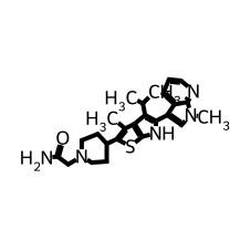 Cc1c(C2CCN(CC(N)=O)CC2)sc2[nH]c(-c3cn(C)c4ncccc34)c(C(C)C)c12